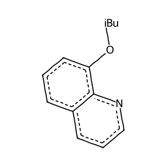 CCC(C)Oc1cccc2cccnc12